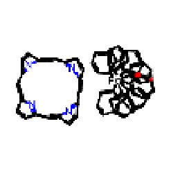 C1=CC2=NC1=CC1=NC(=CC3=NC(=CC4=NC(=C2)C=C4)C=C3)C=C1.c1cc[c]([Pd]([c]2ccccc2)([c]2ccccc2)([c]2ccccc2)([c]2ccccc2)([c]2ccccc2)([c]2ccccc2)[c]2ccccc2)cc1